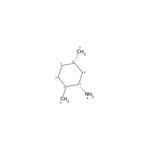 CC1CC[C@H](C)C[C@@H]1N